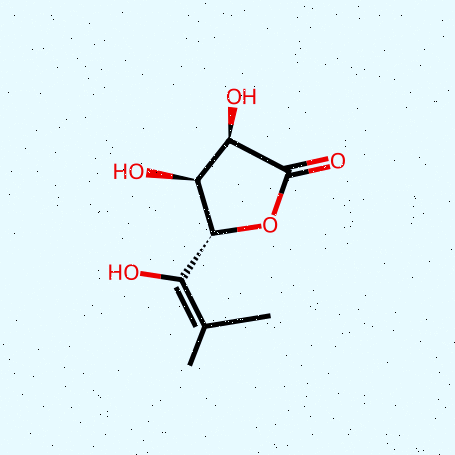 CC(C)=C(O)[C@H]1OC(=O)[C@H](O)[C@@H]1O